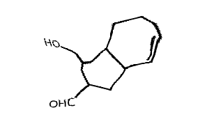 O=CC1CC2C=CCCC2C1O